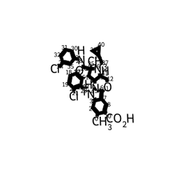 Cc1cc2nn3c(c2cc1C(=O)O)OC[C@H]1[C@@H]3[C@H](c2cccc(Cl)c2F)[C@](C)(C(=O)Nc2cccc(Cl)c2)N1CC1CC1